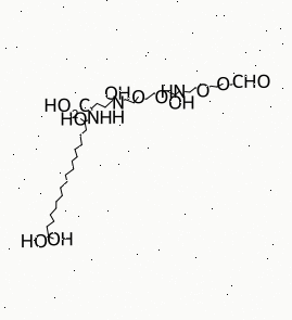 O=CCOCCOCCNC(O)COCCOCCNC(O)CCC(NC(O)CCCCCCCCCCCCCCCCC(O)O)C(=O)O